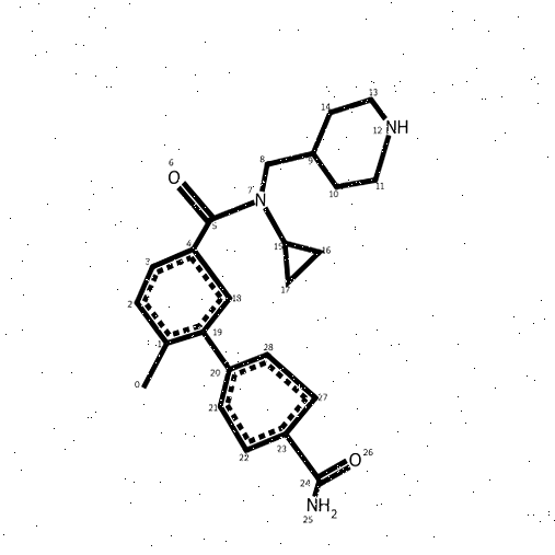 Cc1ccc(C(=O)N(CC2CCNCC2)C2CC2)cc1-c1ccc(C(N)=O)cc1